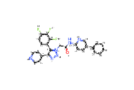 O=C(Cn1nnc(-c2ccncc2)c1-c1ccc(F)c(F)c1F)Nc1ccc(-c2ccccc2)cn1